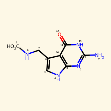 Nc1nc2[nH]cc(CNC(=O)O)c2c(=O)[nH]1